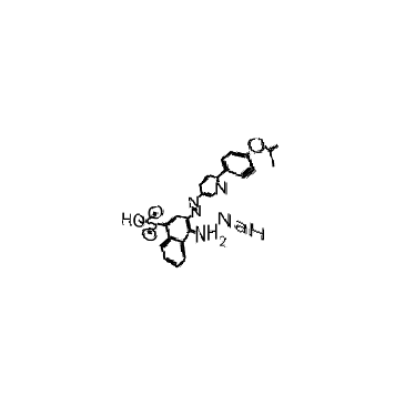 CC(C)Oc1ccc(-c2ccc(N=Nc3cc(S(=O)(=O)O)c4ccccc4c3N)cn2)cc1.[NaH]